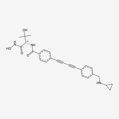 CC(C)(O)[C@H](NC(=O)c1ccc(C#CC#Cc2ccc(CNC3CC3)cc2)cc1)C(=O)NO